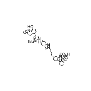 CC(C)(C)[Si](C)(C)O[C@@H](CNCc1ccc2nn(CCC=Cc3ccc(-c4ccccc4)c(N(C(=O)O)[C@H]4CN5CCC4CC5)c3)nc2c1)c1ccc(O)c2[nH]c(=O)ccc12